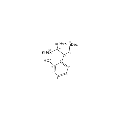 CCCCCCCCCCCC(c1ccccc1O)C(CCCCCC)CCCCCC